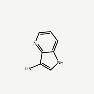 Sc1c[nH]c2cccnc12